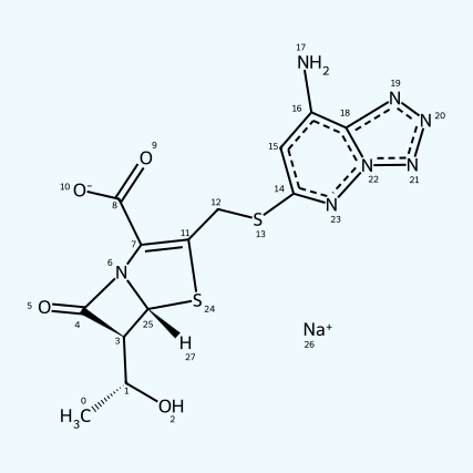 C[C@@H](O)[C@H]1C(=O)N2C(C(=O)[O-])=C(CSc3cc(N)c4nnnn4n3)S[C@H]12.[Na+]